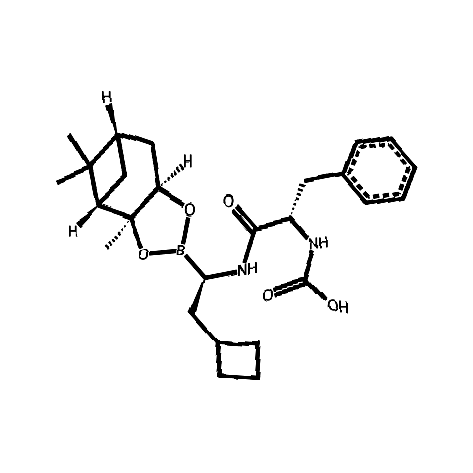 CC1(C)[C@@H]2C[C@H]3OB([C@H](CC4CCC4)NC(=O)[C@H](Cc4ccccc4)NC(=O)O)O[C@@]3(C)[C@H]1C2